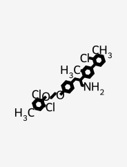 Cc1cc(Cl)c(OCCOc2ccc(CC(CN)c3ccc(-c4cccc(C)c4Cl)cc3C)cc2)c(Cl)c1